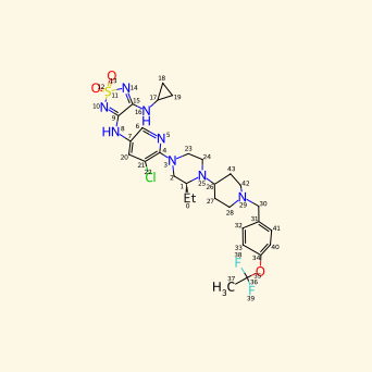 CC[C@H]1CN(c2ncc(NC3=NS(=O)(=O)N=C3NC3CC3)cc2Cl)CCN1C1CCN(Cc2ccc(OC(C)(F)F)cc2)CC1